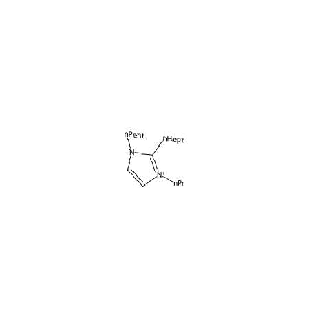 CCCCCCCc1n(CCCCC)cc[n+]1CCC